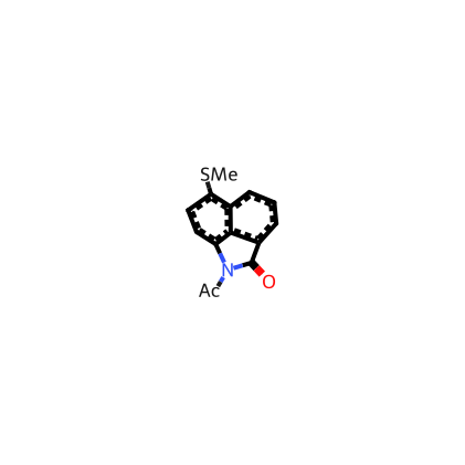 CSc1ccc2c3c(cccc13)C(=O)N2C(C)=O